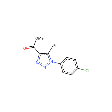 COC(=O)c1nnn(-c2ccc(Cl)cc2)c1C(C)C